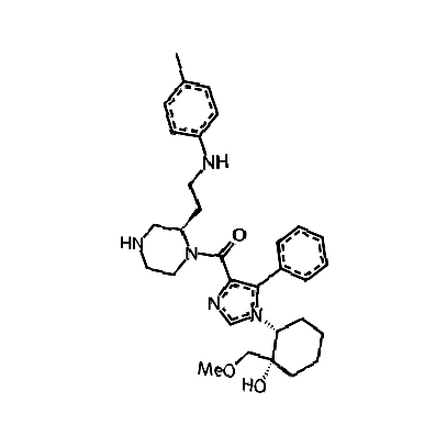 COC[C@]1(O)CCCC[C@H]1n1cnc(C(=O)N2CCNC[C@H]2CCNc2ccc(C)cc2)c1-c1ccccc1